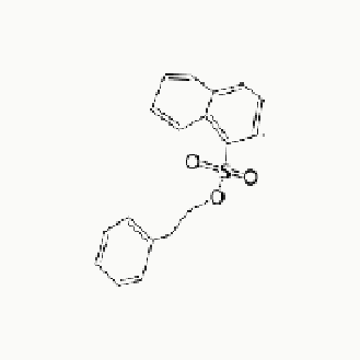 O=S(=O)(OCCc1ccccc1)c1[c]ccc2ccccc12